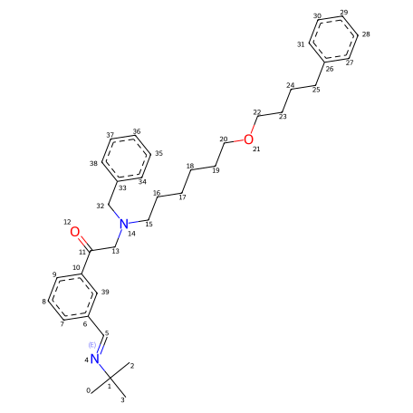 CC(C)(C)/N=C/c1cccc(C(=O)CN(CCCCCCOCCCCc2ccccc2)Cc2ccccc2)c1